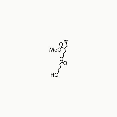 COC(=O)C(CCCOC(=O)CCCCO)CC1CC1